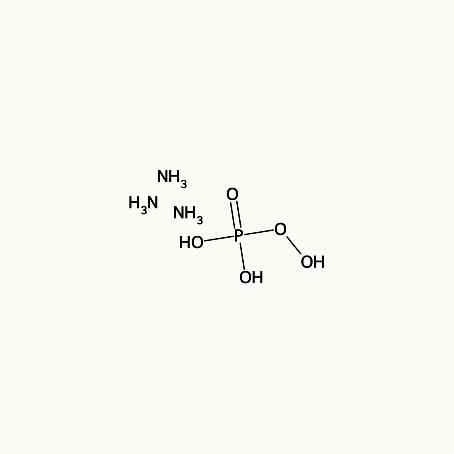 N.N.N.O=P(O)(O)OO